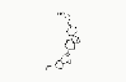 O=C(O)CCN1CCC2(CC1)COc1cc(OCc3cc(C4CC4)ccc3Cl)ccc12